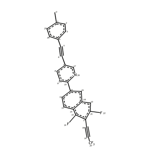 Cc1ccc(C#Cc2cnc(-c3ccc4c(F)c(C#CC(F)(F)F)c(F)cc4c3)nc2)cc1